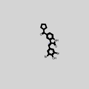 O=C1Nc2ccc(C(=O)C3CCCC3)cc2/C1=C/c1cc(Br)c(O)c(Br)c1